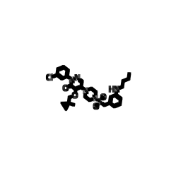 CCCCNc1cccc(CS(=O)(=O)N2CCN(c3cnn(-c4cccc(Cl)c4)c(=O)c3OCC3(C)CC3)CC2)c1